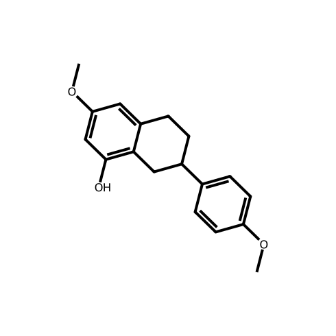 COc1ccc(C2CCc3cc(OC)cc(O)c3C2)cc1